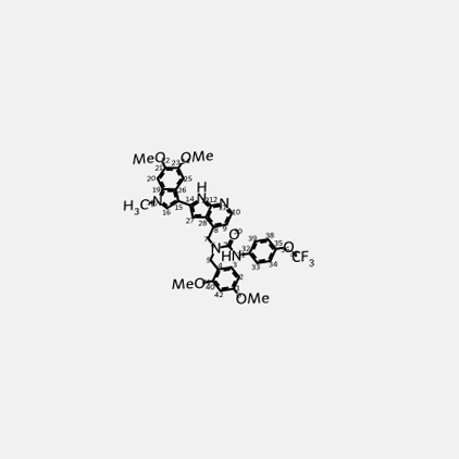 COc1ccc(CN(Cc2ccnc3[nH]c(-c4cn(C)c5cc(OC)c(OC)cc45)cc23)C(=O)Nc2ccc(OC(F)(F)F)cc2)c(OC)c1